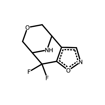 FC1(F)c2oncc2C2COCC1N2